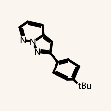 CC(C)(C)c1ccc(-c2cc3cccnn3n2)cc1